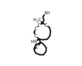 CC1(CCS)CCCCCCC(S)(C23CCCCCCC(C2)C3)CCCC1